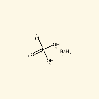 O=P(O)(O)Cl.[BaH2]